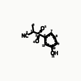 CC(C#N)S(=O)(=O)c1cccc(O)c1